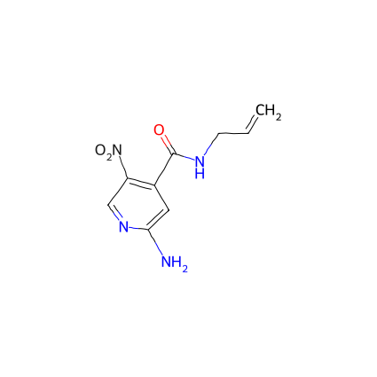 C=CCNC(=O)c1cc(N)ncc1[N+](=O)[O-]